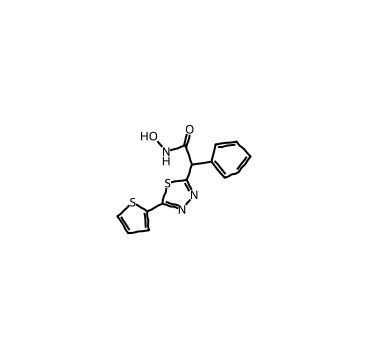 O=C(NO)C(c1ccccc1)c1nnc(-c2cccs2)s1